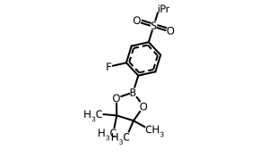 CC(C)S(=O)(=O)c1ccc(B2OC(C)(C)C(C)(C)O2)c(F)c1